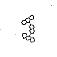 c1ccc2c(-c3ccc4ccc(-c5c6ccccc6cc6ccccc56)cc4c3)c3ccccc3cc2c1